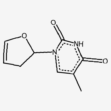 Cc1cn(C2CC=CO2)c(=O)[nH]c1=O